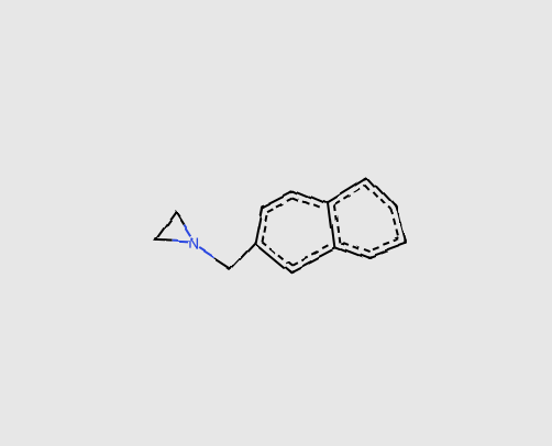 c1ccc2cc(CN3CC3)ccc2c1